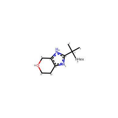 CCCCCCC(C)(C)c1nc2c([nH]1)COCC2